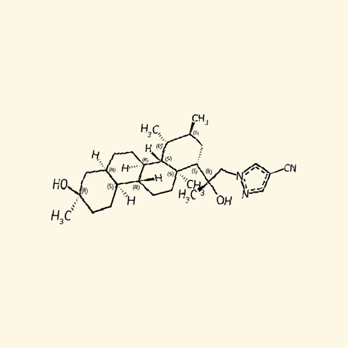 C[C@H]1[C@H]2[C@@H]3CC[C@@H]4C[C@](C)(O)CC[C@@H]4[C@H]3CC[C@]2(C)[C@@H]([C@@](C)(O)Cn2cc(C#N)cn2)C[C@@H]1C